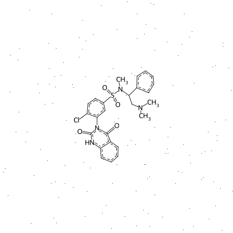 CN(C)CC(c1ccccc1)N(C)S(=O)(=O)c1ccc(Cl)c(-n2c(=O)[nH]c3ccccc3c2=O)c1